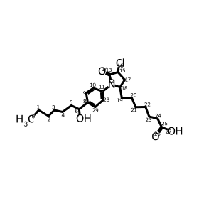 CCCCCCC(O)c1ccc(N2C(=O)C(Cl)CC2CCCCCCC(=O)O)cc1